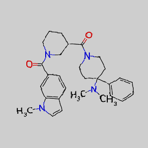 CN(C)C1(c2ccccc2)CCN(C(=O)C2CCCN(C(=O)c3ccc4ccn(C)c4c3)C2)CC1